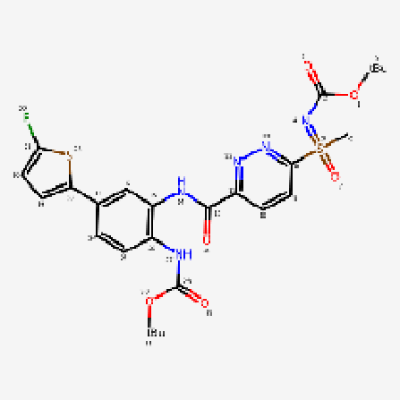 CC(C)(C)OC(=O)N=S(C)(=O)c1ccc(C(=O)Nc2cc(-c3ccc(F)s3)ccc2NC(=O)OC(C)(C)C)nn1